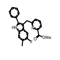 COC(=O)c1cccc(Cc2c(-c3ccccc3)[nH]c3cc(C)c(F)cc23)n1